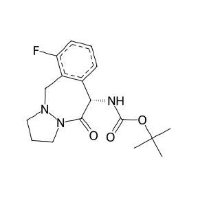 CC(C)(C)OC(=O)N[C@@H]1C(=O)N2CCCN2Cc2c(F)cccc21